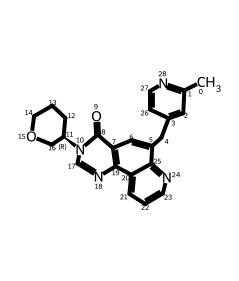 Cc1cc(Cc2cc3c(=O)n([C@@H]4CCCOC4)cnc3c3cccnc23)ccn1